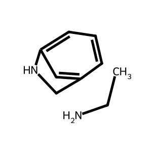 CCN.c1cc2cc(c1)NC2